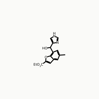 CCOC(=O)c1cc2cc(C)cc(C(O)c3c[nH]cn3)c2o1